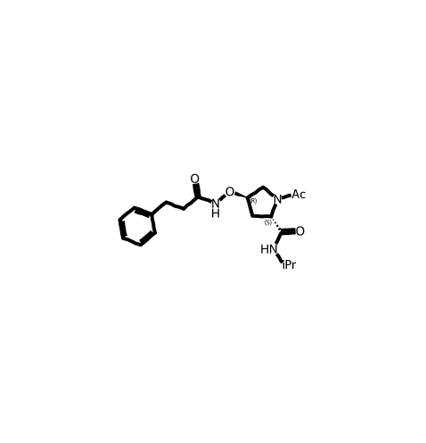 CC(=O)N1C[C@H](ONC(=O)CCc2ccccc2)C[C@H]1C(=O)NC(C)C